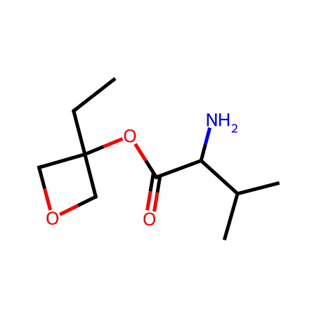 CCC1(OC(=O)C(N)C(C)C)COC1